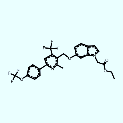 CCOC(=O)Cn1ccc2ccc(OCc3c(C(F)(F)F)cc(-c4ccc(OC(F)(F)F)cc4)nc3C)cc21